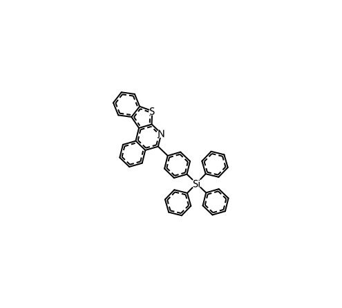 c1ccc([Si](c2ccccc2)(c2ccccc2)c2ccc(-c3nc4sc5ccccc5c4c4ccccc34)cc2)cc1